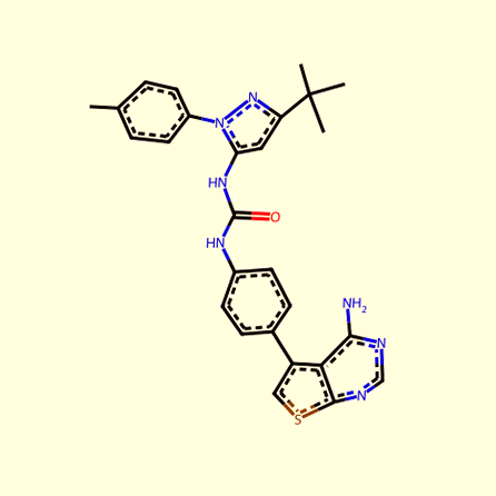 Cc1ccc(-n2nc(C(C)(C)C)cc2NC(=O)Nc2ccc(-c3csc4ncnc(N)c34)cc2)cc1